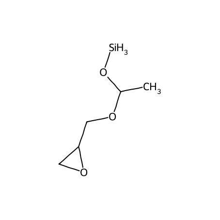 CC(O[SiH3])OCC1CO1